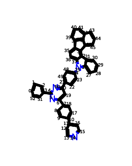 c1ccc(-c2nc(-c3ccc(-c4ccncc4)cc3)cc(-c3ccc(-n4c5ccccc5c5c6c(ccc54)-c4cccc5cccc-6c45)cc3)n2)cc1